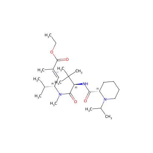 CCOC(=O)/C(C)=C/[C@@H](C(C)C)N(C)C(=O)[C@H](NC(=O)[C@@H]1CCCCN1C(C)C)C(C)(C)C